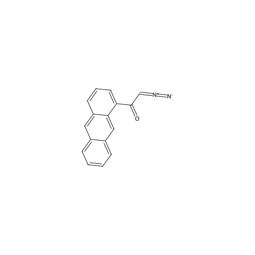 [N-]=[N+]=CC(=O)c1cccc2cc3ccccc3cc12